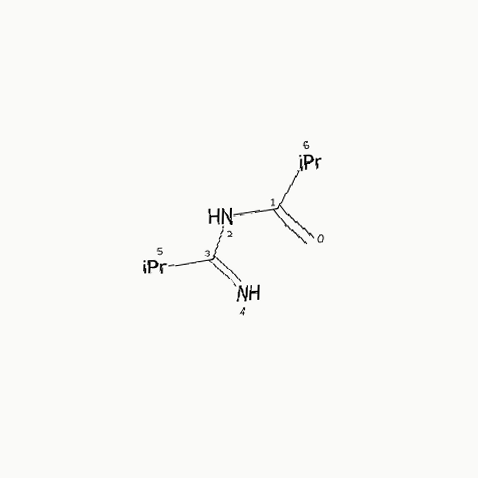 C=C(NC(=N)C(C)C)C(C)C